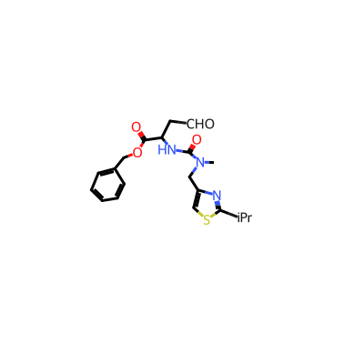 CC(C)c1nc(CN(C)C(=O)NC(CC=O)C(=O)OCc2ccccc2)cs1